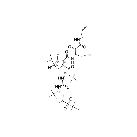 C=CCNC(=O)C(=O)C(CC=C)NC(=O)[C@@H]1[C@@H]2[C@H](CN1C(=O)[C@@H](NC(=O)N[C@H](CN(C)S(=O)(=O)C(C)(C)C)C(C)(C)C)C(C)(C)C)C2(C)C